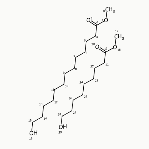 COC(=O)CCCCCCCCCCCCO.COC(=O)CCCCCCCCO